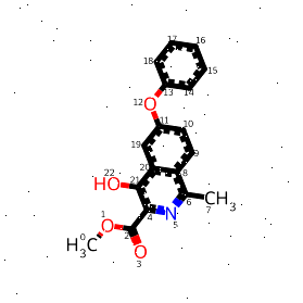 COC(=O)c1nc(C)c2ccc(Oc3ccccc3)cc2c1O